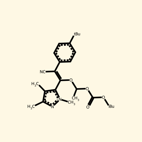 CCC(C)OC(=O)OC(C)O/C(=C(/C#N)c1ccc(C(C)(C)C)cc1)c1c(C)c(C)nn1C